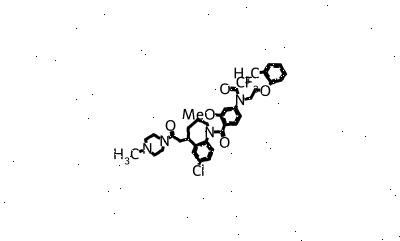 COc1cc(N(CCOc2ccccc2C)C(=O)C(F)(F)F)ccc1C(=O)N1CCCC(CC(=O)N2CCN(C)CC2)c2cc(Cl)ccc21